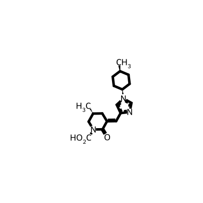 C[C@@H]1C/C(=C\c2cn([C@H]3CC[C@H](C)CC3)cn2)C(=O)N(C(=O)O)C1